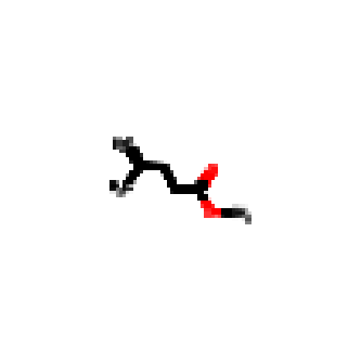 C=C(C)CCC(=O)OC